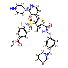 COC(=O)c1ccc(NS(=O)(=O)c2c(-c3ccnc(N4CCNCC4)c3)sc(C(=O)NCc3ccc(CN4CCCCC4)cc3)c2C)cc1